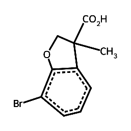 CC1(C(=O)O)COc2c(Br)cccc21